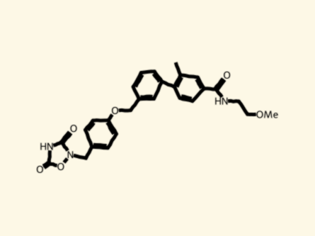 COCCNC(=O)c1ccc(-c2cccc(COc3ccc(Cn4oc(=O)[nH]c4=O)cc3)c2)c(C)c1